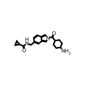 NC1CCC(C(=O)n2cc3ccc(CNC(=O)C4CC4)cc3c2)CC1